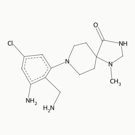 CN1CNC(=O)C12CCN(c1cc(Cl)cc(N)c1CN)CC2